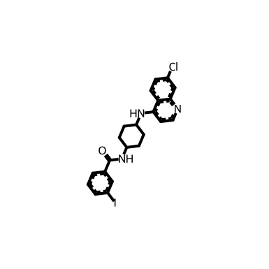 O=C(NC1CCC(Nc2ccnc3cc(Cl)ccc23)CC1)c1cccc(I)c1